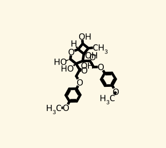 COc1ccc(OCC(=O)[C@]2(O)[C@@]3(O)C(C)C(O)[C@H]3O[C@@H](O)[C@@]2(O)C(=O)COc2ccc(OC)cc2)cc1